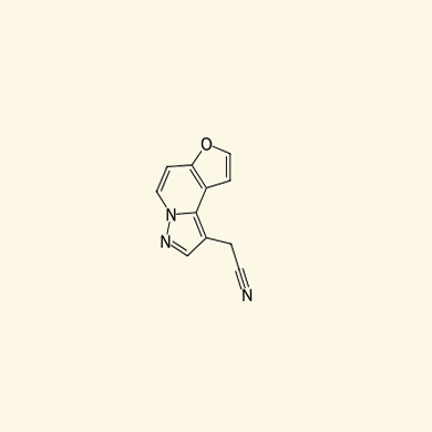 N#CCc1cnn2ccc3occc3c12